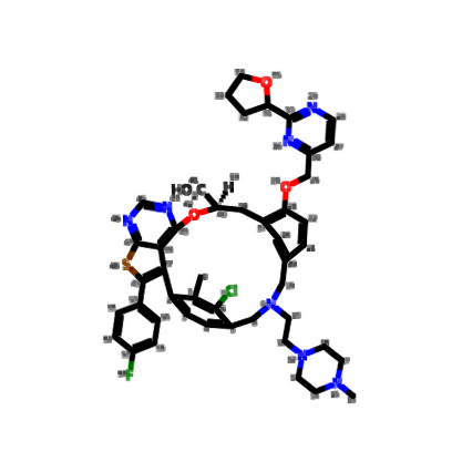 Cc1c2ccc(c1Cl)CN(CCN1CCN(C)CC1)Cc1ccc(OCc3ccnc(C4CCCO4)n3)c(c1)C[C@H](C(=O)O)Oc1ncnc3sc(-c4ccc(F)cc4)c-2c13